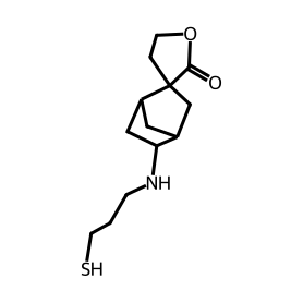 O=C1OCCC12CC1CC2CC1NCCCS